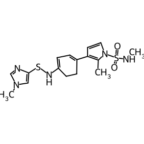 CNS(=O)(=O)n1ccc(C2=CC=C(NSc3cn(C)cn3)CC2)c1C